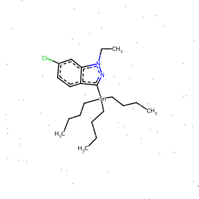 CCC[CH2][Sn]([CH2]CCC)([CH2]CCC)[c]1nn(CC)c2cc(Cl)ccc12